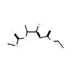 CCOC(=O)/C=C(\N)C(C)OC(=O)NC